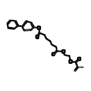 C=C(C)C(=O)OCCOC(=O)CCCCCC(=O)Oc1ccc(-c2ccccc2)cc1